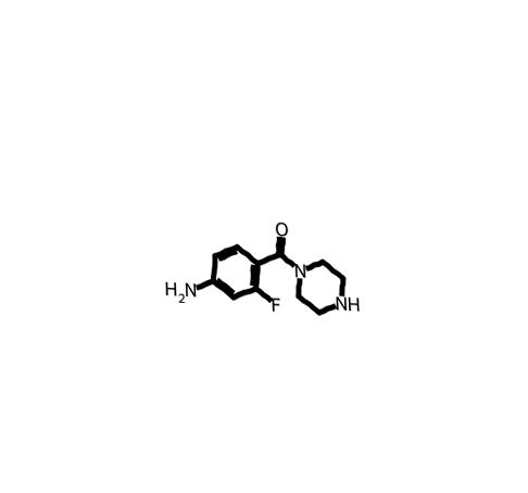 Nc1ccc(C(=O)N2CCNCC2)c(F)c1